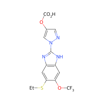 CCSc1cc2nc(-n3cc(OC(=O)O)cn3)[nH]c2cc1OC(F)(F)F